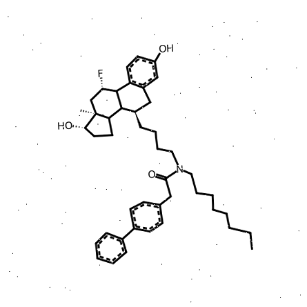 CCCCCCCCN(CCCC[C@@H]1Cc2cc(O)ccc2C2C1C1CC[C@H](O)[C@@]1(C)C[C@@H]2F)C(=O)Cc1ccc(-c2ccccc2)cc1